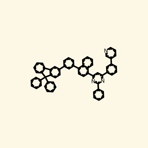 c1ccc(-c2nc(-c3cccc(-c4cccnc4)c3)cc(-c3ccc(-c4cccc(-c5ccc6c(c5)-c5ccccc5C6(c5ccccc5)c5ccccc5)c4)c4ccccc34)n2)cc1